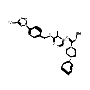 CC(NC(=O)[C@H]1C[C@@H](c2ccccc2)CCN1C(=O)OC(C)(C)C)C(=O)NCc1ccc(N2N=C(C(F)(F)F)OO2)cc1